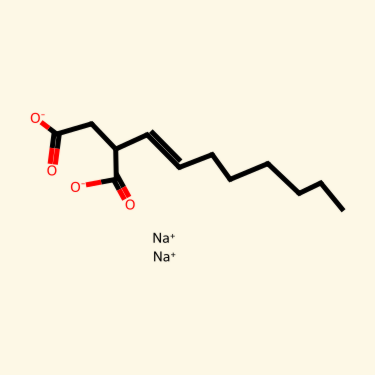 CCCCCC/C=C/C(CC(=O)[O-])C(=O)[O-].[Na+].[Na+]